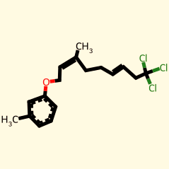 CC(=CCOc1cccc(C)c1)CCC=CCC(Cl)(Cl)Cl